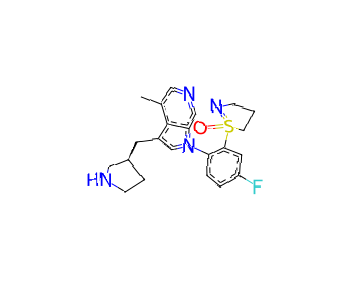 Cc1cncc2c1c(C[C@H]1CCNC1)cn2-c1ccc(F)cc1S1(=O)=NCCC1